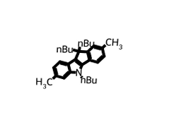 CCCCn1c2c(c3ccc(C)cc31)C(CCCC)(CCCC)c1cc(C)ccc1-2